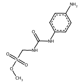 COS(=O)(=O)CNC(=O)Nc1ccc(N)cc1